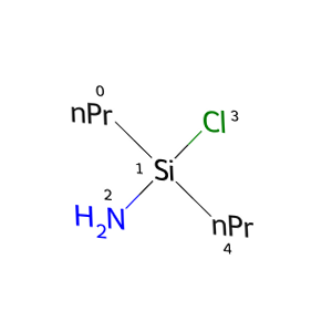 CCC[Si](N)(Cl)CCC